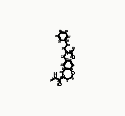 CNC(=O)N1CCOc2ccc(CN(CCc3ccccc3)C(C)=O)cc2C1